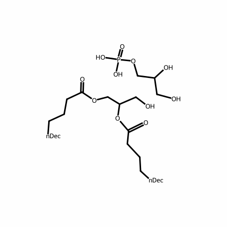 CCCCCCCCCCCCCC(=O)OCC(CO)OC(=O)CCCCCCCCCCCCC.O=P(O)(O)OCC(O)CO